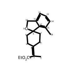 CCOC(=O)C(C)=C1CCC2(CC1)OCc1cccc(C)c12